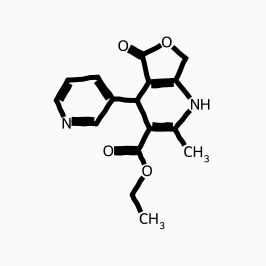 CCOC(=O)C1=C(C)NC2=C(C(=O)OC2)C1c1cccnc1